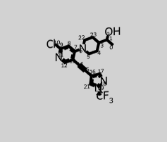 CC(O)C1CCN(c2cc(Cl)ncc2C#Cc2cnn(C(F)(F)F)c2)CC1